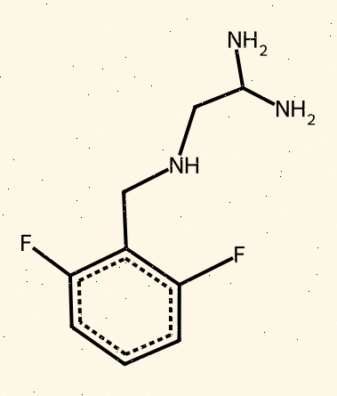 NC(N)CNCc1c(F)cccc1F